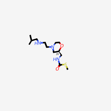 CSC(=O)NC[C@H]1CN(CCNCC(C)C)CCO1